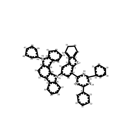 C1=c2sc3c(-c4nc(-c5ccccc5)nc(-c5ccccc5)n4)cc(-n4c5ccccc5c5ccc6c(c7ccccc7n6-c6ccccc6)c54)cc3c2=CCC1